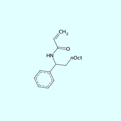 C=CC(=O)NC(CCCCCCCCC)c1ccccc1